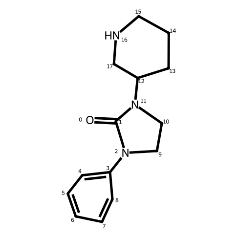 O=C1N(c2ccccc2)CCN1C1CCCNC1